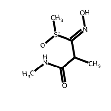 CNC(=O)C(C)C(=NO)[S+](C)[O-]